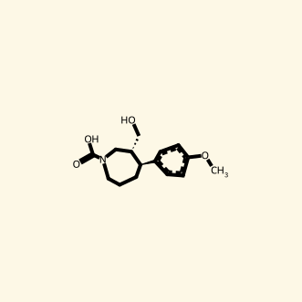 COc1ccc([C@H]2CCCN(C(=O)O)C[C@@H]2CO)cc1